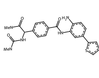 CNC(=O)NC(C(=O)NC)c1ccc(C(=O)Nc2cc(-c3cccs3)ccc2N)cc1